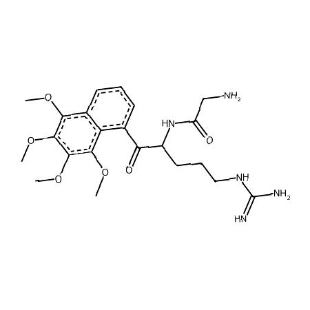 COc1c(OC)c(OC)c2c(C(=O)C(CCCNC(=N)N)NC(=O)CN)cccc2c1OC